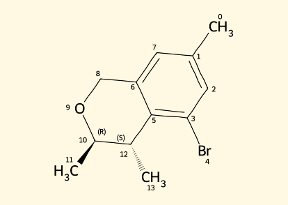 Cc1cc(Br)c2c(c1)CO[C@H](C)[C@H]2C